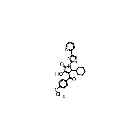 COc1ccc(C(=O)C2=C(O)C(=O)N(c3nc(-c4ccccn4)cs3)C2C2CCCCC2)cc1